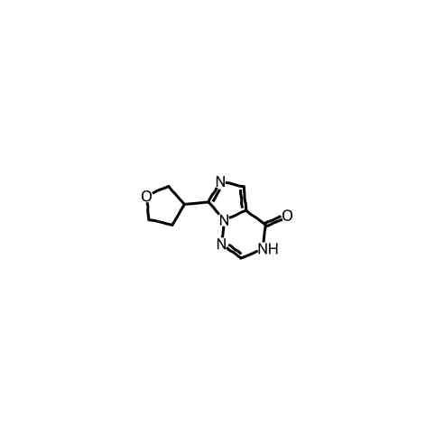 O=c1[nH]cnn2c(C3CCOC3)ncc12